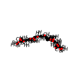 C/C(=C\OC=CCNC(=S)Nc1ccc(CCc2ccc(NC(=S)NNC(=O)C(Nc3ccc(Cl)cc3)C(=O)N/N=C/c3cc(Br)c(O)c(Br)c3)cc2S(=O)(=O)O)c(S(=O)(=O)O)c1)CNC(=S)Nc1ccc(/C=C/c2ccc(NC(=S)NNC(=O)C(Nc3ccc(Cl)cc3)C(=O)N/N=C/c3cc(Br)c(O)c(Br)c3)cc2S(=O)(=O)O)c(S(=O)(=O)O)c1